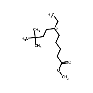 CC[C@@H](CCCCC(=O)OC)CCC(C)(C)C